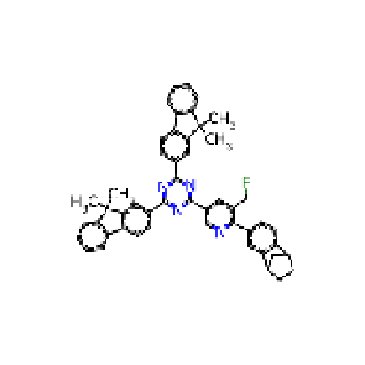 CC1(C)c2ccccc2-c2ccc(-c3nc(-c4cnc(-c5ccc6c(c5)C5CCC6C5)c(CF)c4)nc(-c4ccc5c(c4)C(C)(C)c4ccccc4-5)n3)cc21